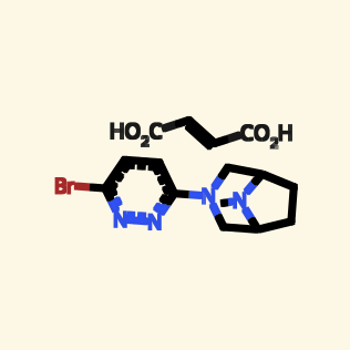 CN1C2CCC1CN(c1ccc(Br)nn1)C2.O=C(O)/C=C/C(=O)O